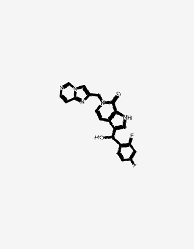 O=c1c2[nH]cc(C(O)c3ccc(F)cc3F)c2ccn1Cc1cn2cnccc2n1